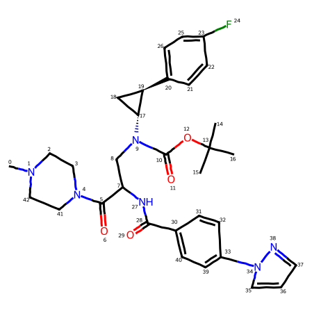 CN1CCN(C(=O)C(CN(C(=O)OC(C)(C)C)[C@@H]2C[C@H]2c2ccc(F)cc2)NC(=O)c2ccc(-n3cccn3)cc2)CC1